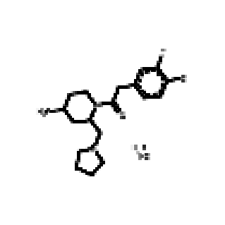 CC1CCN(C(=O)Cc2ccc(Cl)c(Cl)c2)C(CN2CCCC2)C1.Cl.O